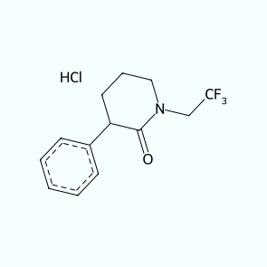 Cl.O=C1C(c2ccccc2)CCCN1CC(F)(F)F